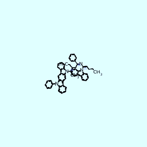 CCC/C=C(/N=C(\C/C(CC)=C(\C)n1c2ccccc2c2cc3c(cc21)c1ccccc1n3-c1ccccc1)c1ccccc1)n1c2ccccc2c2ccccc21